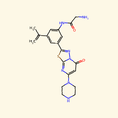 C=C(C)c1cc(NC(=O)CN)cc(-c2nn3c(=O)cc(N4CCNCC4)nc3s2)c1